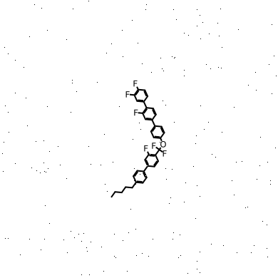 CCCCCc1ccc(-c2ccc(C(F)(F)Oc3ccc(-c4ccc(-c5ccc(F)c(F)c5)c(F)c4)cc3)c(F)c2)cc1